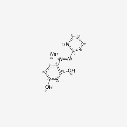 Oc1ccc(N=Nc2ccccn2)c(O)c1.[Na+]